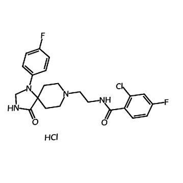 Cl.O=C(NCCN1CCC2(CC1)C(=O)NCN2c1ccc(F)cc1)c1ccc(F)cc1Cl